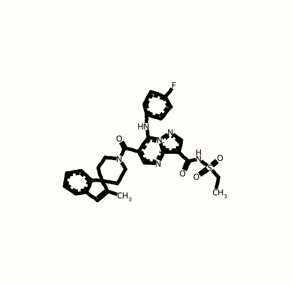 CCS(=O)(=O)NC(=O)c1cnn2c(Nc3ccc(F)cc3)c(C(=O)N3CCC4(CC3)C(C)=Cc3ccccc34)cnc12